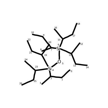 CCC(C)[Si](O[Si](C(C)CC)(C(C)CC)C(C)CC)(C(C)CC)C(C)CC